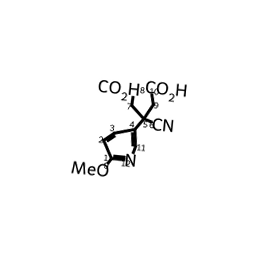 COc1ccc(C(C#N)(CC(=O)O)CC(=O)O)cn1